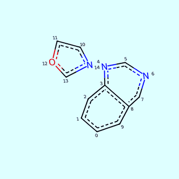 c1ccc2ncncc2c1.c1cocn1